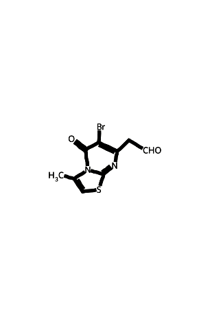 Cc1csc2nc(CC=O)c(Br)c(=O)n12